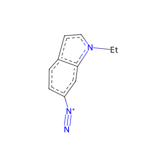 CCn1ccc2ccc([N+]#N)cc21